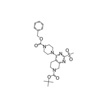 CC(C)(C)OC(=O)N1CCc2c(nc(S(C)(=O)=O)nc2N2CCN(C(=O)OCc3ccccc3)CC2)C1